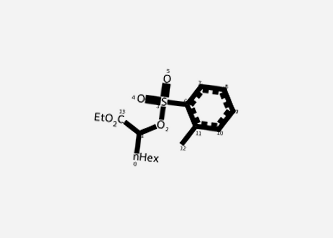 CCCCCCC(OS(=O)(=O)c1ccccc1C)C(=O)OCC